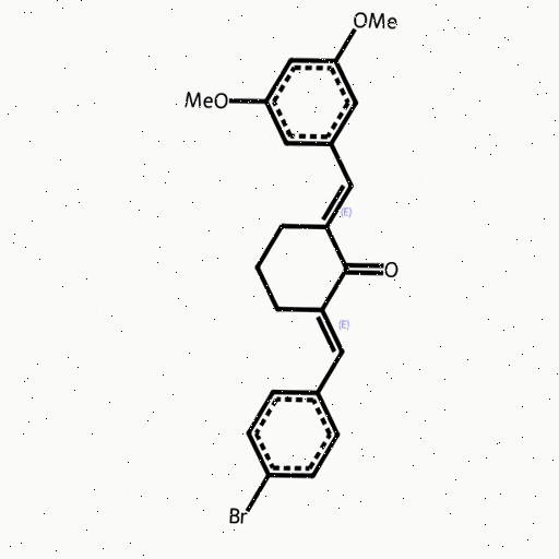 COc1cc(/C=C2\CCC/C(=C\c3ccc(Br)cc3)C2=O)cc(OC)c1